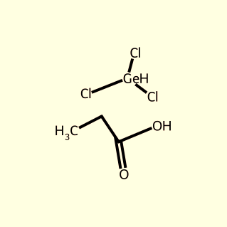 CCC(=O)O.[Cl][GeH]([Cl])[Cl]